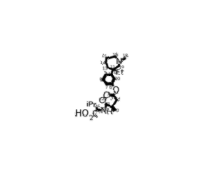 C=C(CC(=O)Oc1cccc(C2(CC)CCCCN(C)C2)c1)C(=O)N[C@H](C(=O)O)C(C)C